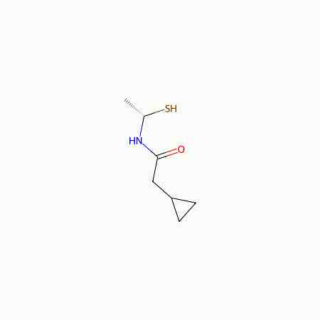 C[C@H](S)NC(=O)CC1CC1